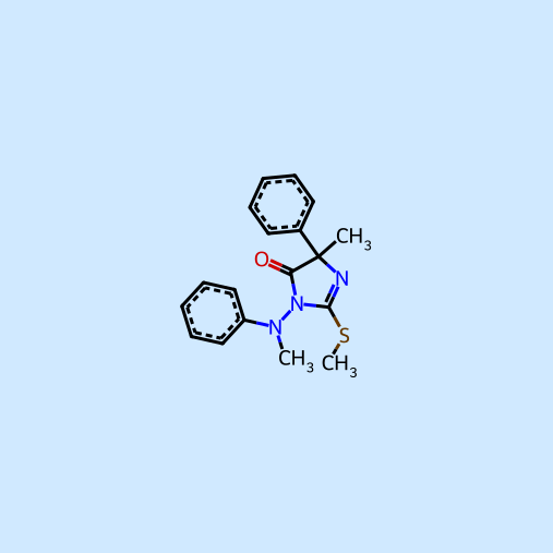 CSC1=NC(C)(c2ccccc2)C(=O)N1N(C)c1ccccc1